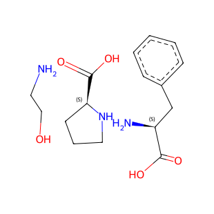 NCCO.N[C@@H](Cc1ccccc1)C(=O)O.O=C(O)[C@@H]1CCCN1